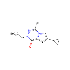 CCOC(=O)Cn1nc(C(C)C)n2cc(C3CC3)cc2c1=O